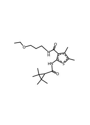 CCOCCCNC(=O)c1c(NC(=O)C2C(C)(C)C2(C)C)sc(C)c1C